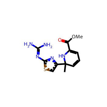 COC(=O)C1=CC=CC(C)(c2csc(N=C(N)N)n2)N1